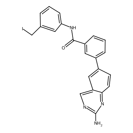 Nc1ncc2cc(-c3cccc(C(=O)Nc4cccc(CI)c4)c3)ccc2n1